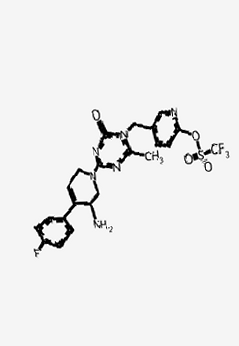 Cc1nc(N2CC=C(c3ccc(F)cc3)C(N)C2)nc(=O)n1Cc1ccc(OS(=O)(=O)C(F)(F)F)nc1